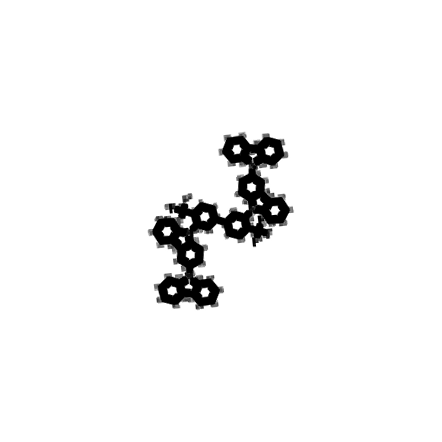 FC(F)(F)c1ccc(-c2ccc(C(F)(F)F)c(-n3c4ccccc4c4cc(-n5c6ccccc6c6ccccc65)ccc43)c2)cc1-n1c2ccccc2c2cc(-n3c4ccccc4c4ccccc43)ccc21